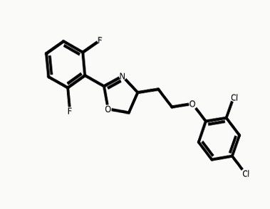 Fc1cccc(F)c1C1=NC(CCOc2ccc(Cl)cc2Cl)CO1